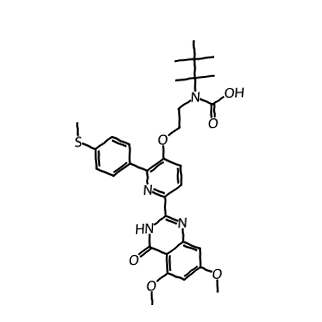 COc1cc(OC)c2c(=O)[nH]c(-c3ccc(OCCN(C(=O)O)C(C)(C)C(C)(C)C)c(-c4ccc(SC)cc4)n3)nc2c1